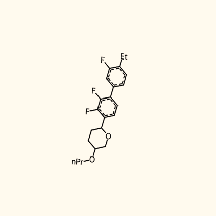 CCCOC1CCC(c2ccc(-c3ccc(CC)c(F)c3)c(F)c2F)OC1